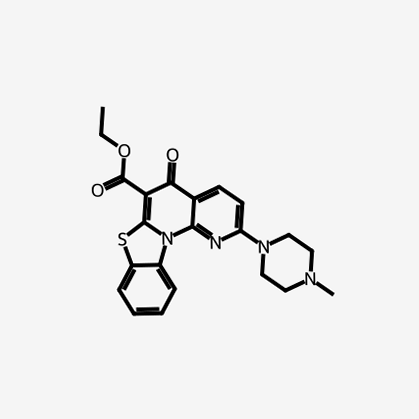 CCOC(=O)c1c(=O)c2ccc(N3CCN(C)CC3)nc2n2c1sc1ccccc12